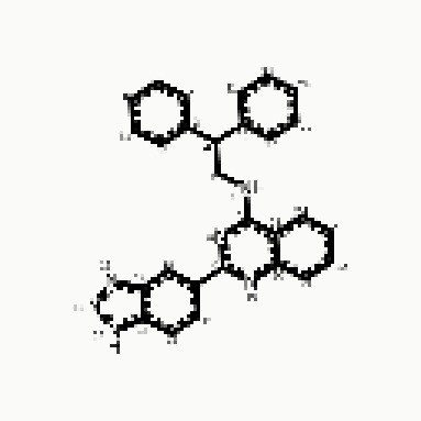 c1ccc(C(CNc2nc(-c3ccc4[nH]nnc4c3)nc3ccccc23)c2ccccc2)cc1